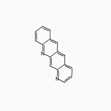 c1cnc2cc3nc4ccccc4cc3cc2c1